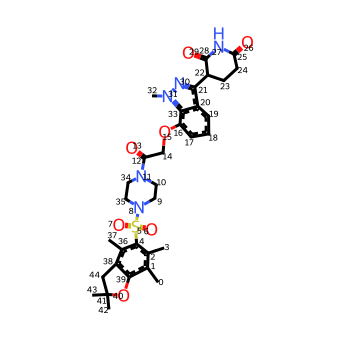 Cc1c(C)c(S(=O)(=O)N2CCN(C(=O)COc3cccc4c(C5CCC(=O)NC5=O)nn(C)c34)CC2)c(C)c2c1OC(C)(C)C2